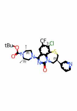 C[C@@H]1CN(c2nc(=O)n3c4c(c(Cl)c(C(F)(F)F)cc24)SC[C@@H](c2cccnc2)C3)C[C@H](C)N1C(=O)OC(C)(C)C